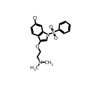 CN(C)CCOc1cn(S(=O)(=O)c2ccccc2)c2cc(Cl)ccc12